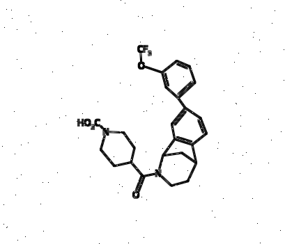 O=C(O)N1CCC(C(=O)N2CCC3CC2c2cc(-c4cccc(OC(F)(F)F)c4)ccc23)CC1